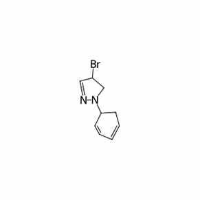 BrC1C=NN(C2C=CC=CC2)C1